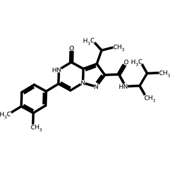 Cc1ccc(-c2cn3nc(C(=O)NC(C)C(C)C)c(C(C)C)c3c(=O)[nH]2)cc1C